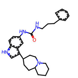 O=C(NCCCc1ccccc1)Nc1ccc2[nH]cc(C3CCC4CCCCN4CC3)c2c1